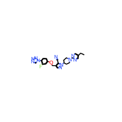 CCc1cnc(N2CCC(n3ncc(COc4ccc(-n5cnnn5)c(F)c4)c3C#N)CC2)nc1